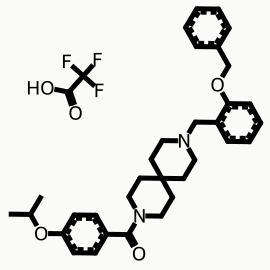 CC(C)Oc1ccc(C(=O)N2CCC3(CCN(Cc4ccccc4OCc4ccccc4)CC3)CC2)cc1.O=C(O)C(F)(F)F